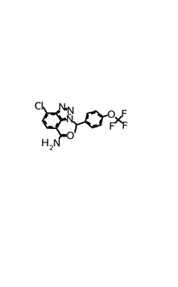 CC(c1ccc(OC(F)(F)F)cc1)n1nnc2c(Cl)ccc(C(N)=O)c21